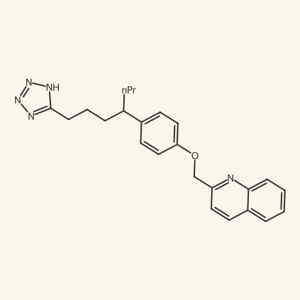 CCCC(CCCc1nnn[nH]1)c1ccc(OCc2ccc3ccccc3n2)cc1